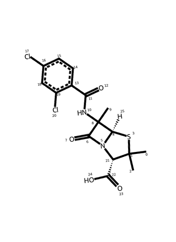 CC1(C)S[C@H]2N(C(=O)C2(C)NC(=O)c2ccc(Cl)cc2Cl)[C@H]1C(=O)O